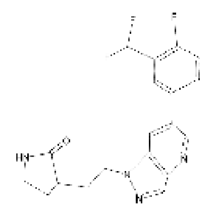 O=C1NCCC1CCn1ncc2ncc(-c3ccc(F)c(C(F)F)c3)cc21